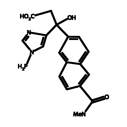 CNC(=O)c1ccc2cc(C(O)(CC(=O)O)c3cn(P)cn3)ccc2c1